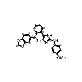 COc1ccc(Nc2nnc(-c3cccnc3N(C)c3ccc4c(c3)OCO4)[nH]2)cc1